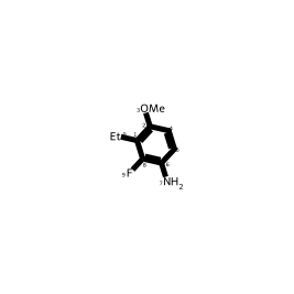 CCc1c(OC)ccc(N)c1F